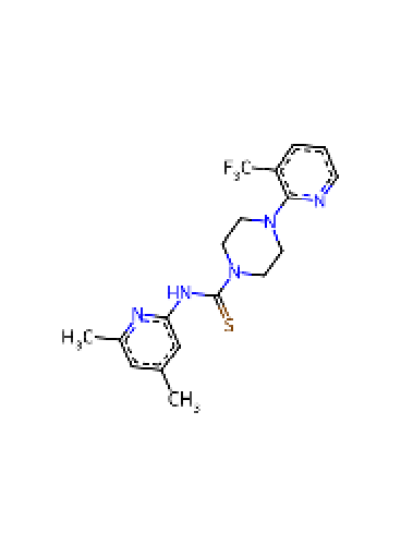 Cc1cc(C)nc(NC(=S)N2CCN(c3ncccc3C(F)(F)F)CC2)c1